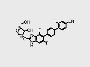 N#Cc1ccc(-c2ccc(-c3c(F)cc4[nH]c(O[C@@H]5CO[C@H](CO)C5O)nc4c3F)cc2)c(F)c1